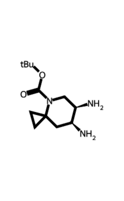 CC(C)(C)OC(=O)N1C[C@@H](N)[C@@H](N)CC12CC2